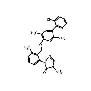 Cc1cc(-c2ncccc2Cl)c(C)cc1OCc1c(C)cccc1-n1nnn(C)c1=O